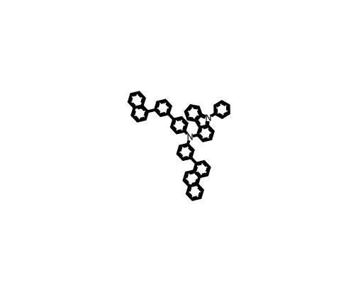 c1ccc(-n2c3ccccc3c3c(N(c4ccc(-c5cccc(-c6cccc7ccccc67)c5)cc4)c4cccc(-c5cccc6c5ccc5ccccc56)c4)cccc32)cc1